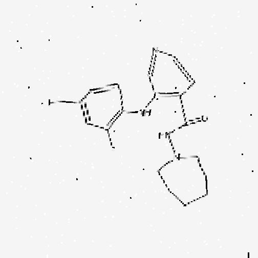 O=C(NN1CCCCCC1)c1ccncc1Nc1ccc(I)cc1F